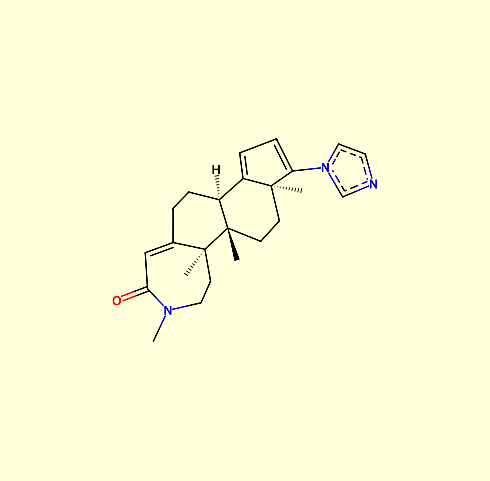 CN1CC[C@@]2(C)C(=CC1=O)CC[C@H]1C3=CC=C(n4ccnc4)[C@@]3(C)CC[C@@]12C